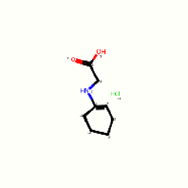 Cl.O=C(O)CNC1=CCCCC1